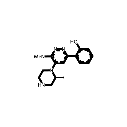 CNc1nnc(-c2ccccc2O)cc1N1CCNC[C@@H]1C